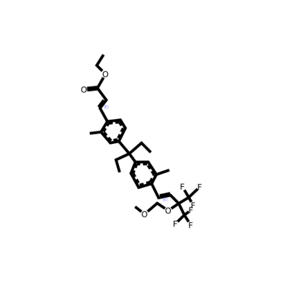 CCOC(=O)/C=C/c1ccc(C(CC)(CC)c2ccc(/C=C/C(OCOC)(C(F)(F)F)C(F)(F)F)c(C)c2)cc1C